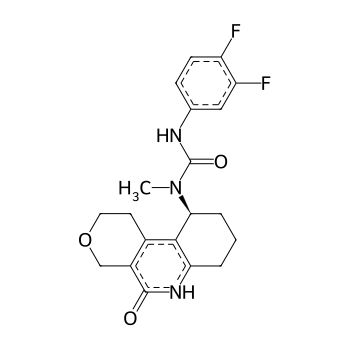 CN(C(=O)Nc1ccc(F)c(F)c1)[C@H]1CCCc2[nH]c(=O)c3c(c21)CCOC3